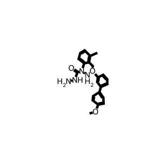 COc1ccc(-c2cccc(OCc3c(C)cccc3N(N)C(=O)NN)c2)cc1